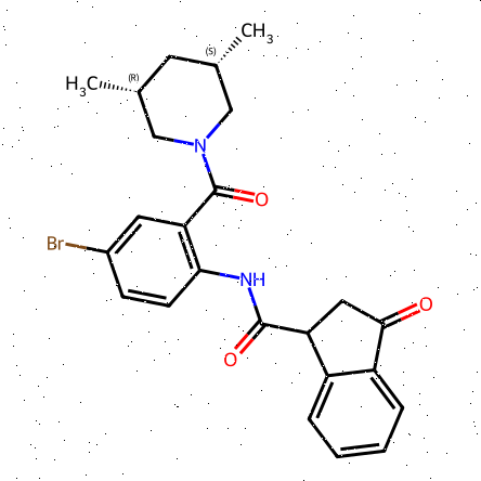 C[C@@H]1C[C@H](C)CN(C(=O)c2cc(Br)ccc2NC(=O)C2CC(=O)c3ccccc32)C1